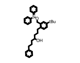 CC(C)(C)c1ccc(CCCC(O)CCCc2ccccc2)c(CO[SiH](c2ccccc2)c2ccccc2)c1